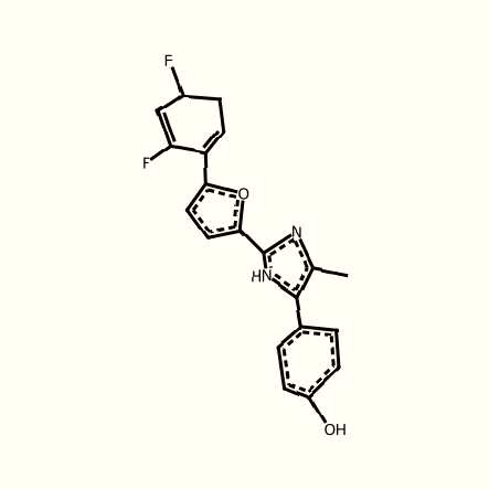 Cc1nc(-c2ccc(C3=CCC(F)C=C3F)o2)[nH]c1-c1ccc(O)cc1